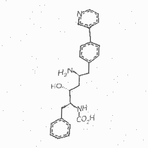 N[C@@H](Cc1ccc(-c2cccnc2)cc1)C[C@@H](O)[C@H](Cc1ccccc1)NC(=O)O